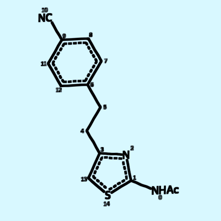 CC(=O)Nc1nc(CCc2ccc(C#N)cc2)cs1